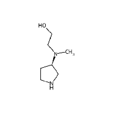 CN(CCO)[C@@H]1CCNC1